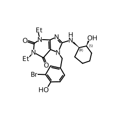 CCn1c(=O)c2c(nc(N[C@@H]3CCCC[C@@H]3O)n2Cc2ccc(O)c(Br)c2)n(CC)c1=O